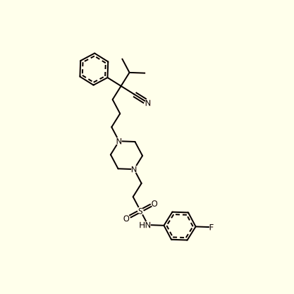 CC(C)C(C#N)(CCCN1CCN(CCS(=O)(=O)Nc2ccc(F)cc2)CC1)c1ccccc1